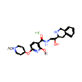 CCOc1nc(OC2CCN(C(C)=O)CC2)ccc1C(=O)NCC(O)C1Cc2ccccc2CN1.Cl